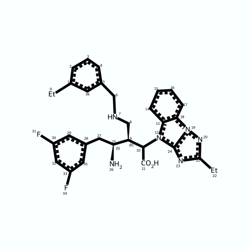 CCc1cccc(CNC[C@@H](C(C(=O)O)n2c3ccccc3n3nc(CC)nc23)[C@@H](N)Cc2cc(F)cc(F)c2)c1